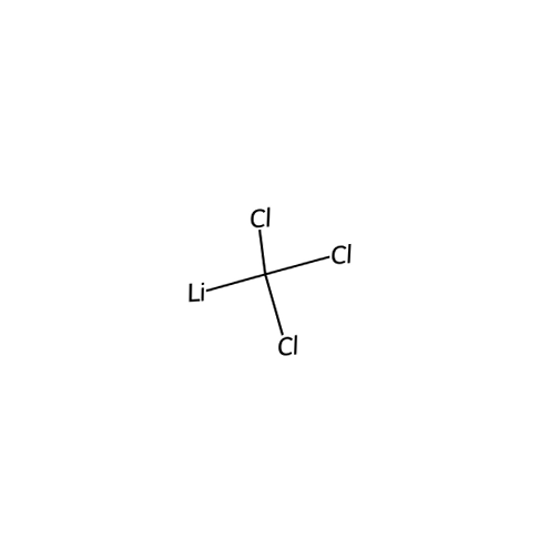 [Li][C](Cl)(Cl)Cl